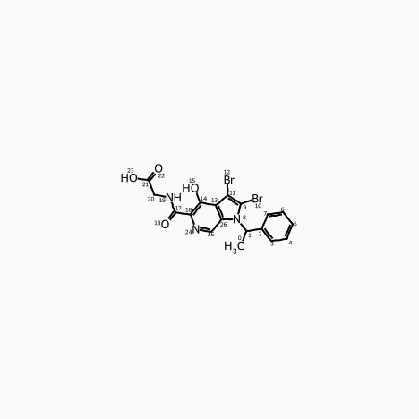 CC(c1ccccc1)n1c(Br)c(Br)c2c(O)c(C(=O)NCC(=O)O)ncc21